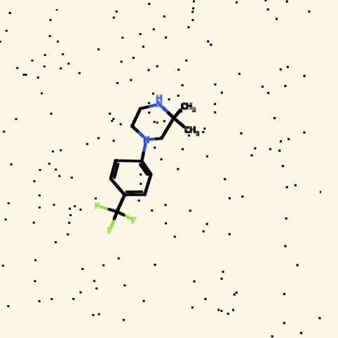 CC1(C)CN(c2ccc(C(F)(F)F)cc2)CCN1